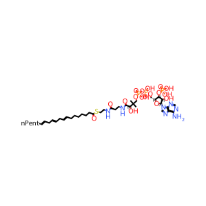 CCCCCC=CCC=CCC=CCCCCCCC(=O)SCCNC(=O)CCNC(=O)[C@H](O)C(C)(C)COP(=O)(O)OP(=O)(O)OC[C@H]1O[C@@H](n2cnc3c(N)ncnc32)[C@H](O)[C@@H]1OP(=O)(O)O